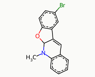 CN1c2ccccc2C=C2c3cc(Br)ccc3OC21